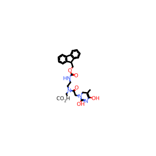 CC1=C(O)N=C(O)N(CC(=O)N(CCNC(=O)OCC2c3ccccc3-c3ccccc32)CC(=O)O)C1